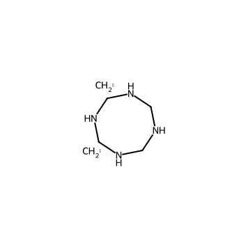 C1NCNCNCN1.[CH2].[CH2]